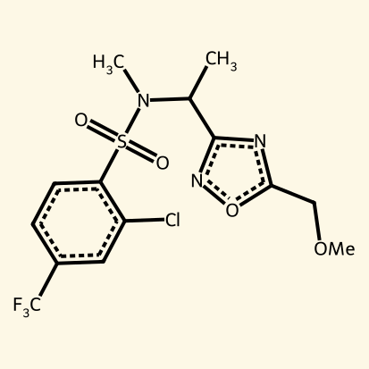 COCc1nc(C(C)N(C)S(=O)(=O)c2ccc(C(F)(F)F)cc2Cl)no1